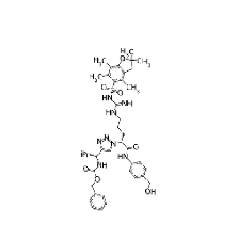 Cc1c(C)c(S(=O)(=O)NC(=N)NCCC[C@@H](C(=O)Nc2ccc(CO)cc2)n2cc([C@@H](NC(=O)OCc3ccccc3)C(C)C)nn2)c(C)c2c1OC(C)(C)C2